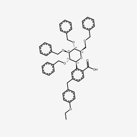 CCOc1ccc(Cc2ccc(C(=O)O)c([C@@H]3O[C@H](COCc4ccccc4)[C@@H](OCc4ccccc4)[C@H](OCc4ccccc4)[C@H]3OCc3ccccc3)c2)cc1